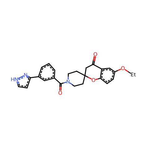 CCOc1ccc2c(c1)C(=O)CC1(CCN(C(=O)c3cccc(-c4cc[nH]n4)c3)CC1)O2